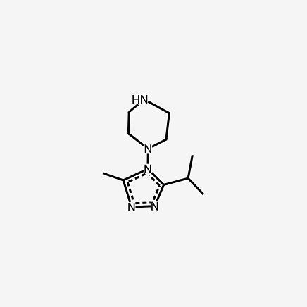 Cc1nnc(C(C)C)n1N1CCNCC1